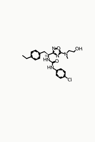 CCc1ccc(C[C@H](NC(=O)Nc2ccc(Cl)cc2)c2noc(N(C)CCO)n2)cc1